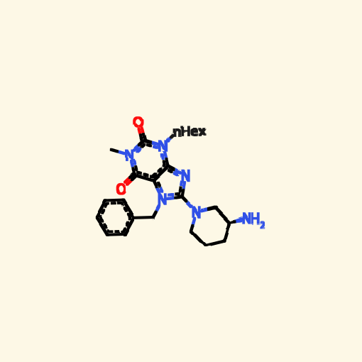 CCCCCCn1c(=O)n(C)c(=O)c2c1nc(N1CCC[C@H](N)C1)n2Cc1ccccc1